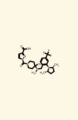 C[C@@H]1CC[C@H](C)N1c1cc(C(F)(F)F)ccc1CN(C)C1(C)CCN(C(=O)n2ccc(C(=O)O)n2)CC1